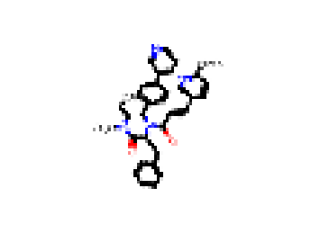 COCCN(C)C(=O)C(Cc1ccccc1)N(Cc1ccc(-c2cccnc2)cc1)C(=O)C=Cc1ccc(OC)nc1